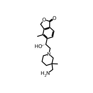 Cc1c([C@@H](O)CN2CCCC(C)(CN)C2)ccc2c1COC2=O